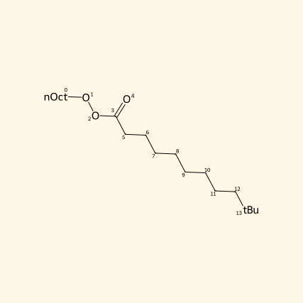 CCCCCCCCOOC(=O)CCCCCCCCC(C)(C)C